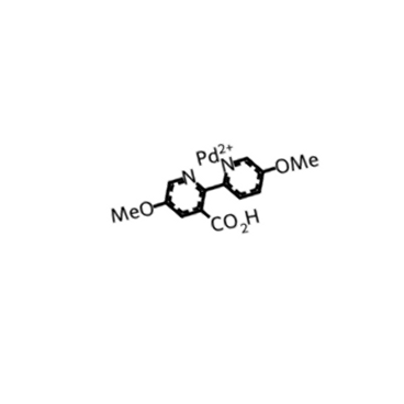 COc1ccc(-c2ncc(OC)cc2C(=O)O)nc1.[Pd+2]